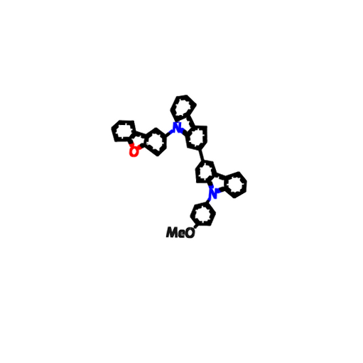 COc1ccc(-n2c3ccccc3c3cc(-c4ccc5c6ccccc6n(-c6ccc7oc8ccccc8c7c6)c5c4)ccc32)cc1